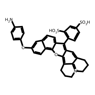 Nc1ccc(Oc2ccc3c4c(ccc3c2)C(c2ccc(S(=O)(=O)O)cc2S(=O)(=O)O)=c2cc3c5c(c2O4)CCC[N+]=5CCC3)cc1